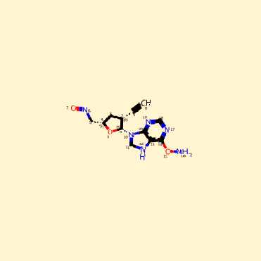 C#C[C@H]1C[C@@H](CN=O)O[C@H]1N1CNc2c(ON)ncnc21